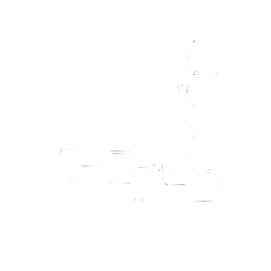 COc1cc(C(=O)O)ccc1NC(=O)c1ccccc1OCCCNC(=O)OC(C)(C)C